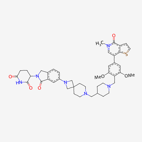 COc1cc(-c2cn(C)c(=O)c3ccsc23)cc(OC)c1CN1CCC(CN2CCC3(CC2)CN(c2ccc4c(c2)C(=O)N(C2CCC(=O)NC2=O)C4)C3)CC1